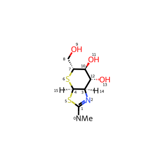 CNC1=N[C@H]2[C@@H](S1)S[C@H](CO)[C@@H](O)[C@@H]2O